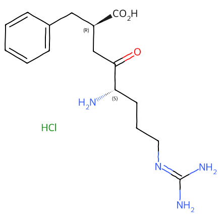 Cl.NC(N)=NCCC[C@H](N)C(=O)C[C@@H](Cc1ccccc1)C(=O)O